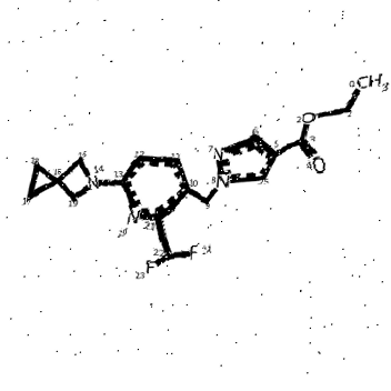 CCOC(=O)c1cnn(Cc2ccc(N3CC4(CC4)C3)nc2C(F)F)c1